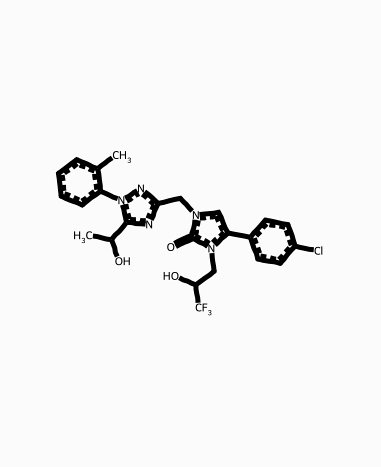 Cc1ccccc1-n1nc(Cn2cc(-c3ccc(Cl)cc3)n(CC(O)C(F)(F)F)c2=O)nc1C(C)O